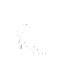 CSc1ccc(-c2ccc3c(c2)ncn3-c2ccc(CC(=O)O)cc2)cc1.[LiH]